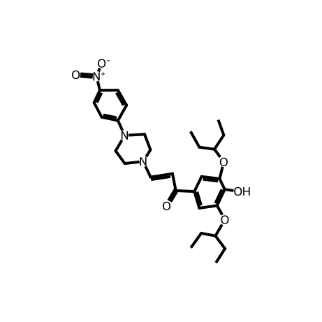 CCC(CC)Oc1cc(C(=O)C=CN2CCN(c3ccc([N+](=O)[O-])cc3)CC2)cc(OC(CC)CC)c1O